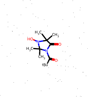 CC(C)(C)C(=O)N1C(=O)C(C)(C)N(O)C1(C)C